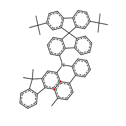 Cc1ccc(-c2ccccc2N(c2ccc3c(c2)C(C)(C)c2ccccc2-3)c2cccc3c2-c2ccccc2C32c3cc(C(C)(C)C)ccc3-c3ccc(C(C)(C)C)cc32)cc1